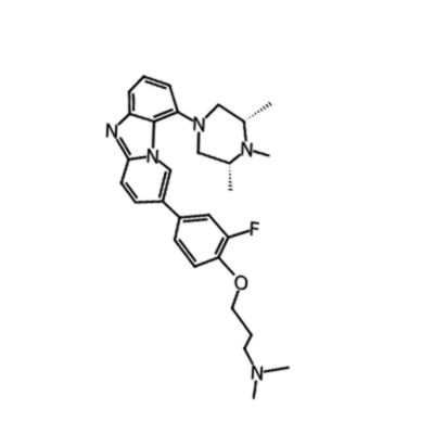 C[C@@H]1CN(c2cccc3nc4ccc(-c5ccc(OCCCN(C)C)c(F)c5)cn4c23)C[C@H](C)N1C